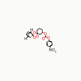 O=C(Oc1ccc([N+](=O)[O-])cc1)OC1CCCC2(C1)OO[C@]1(C[C@@H]3CC[C@H]1C3)O2